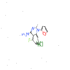 CC1N=C(N)c2c(F)cccc2N1c1ccco1.Cl